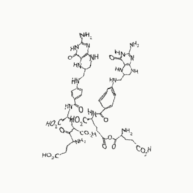 Nc1nc2c(c(=O)[nH]1)NC(CNc1ccc(C(=O)N[C@@H](CC(C(=O)O)C(=O)[C@@H](N)CCC(=O)O)C(=O)O)cc1)CN2.Nc1nc2c(c(=O)[nH]1)NC(CNc1ccc(C(=O)N[C@@H](CCC(=O)OC(=O)[C@@H](N)CCC(=O)O)C(=O)O)cc1)CN2